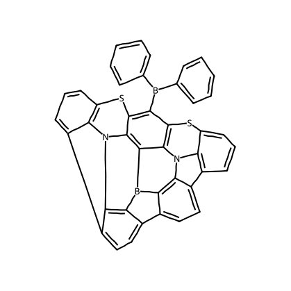 c1ccc(B(c2ccccc2)c2c3sc4cccc5c6ccc7c8c6n(c3c3c6c2sc2cccc9c%10ccc-7c(c%10n6c29)B38)c45)cc1